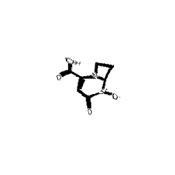 O=C(O)C1=CC(=O)[S+]([O-])C2CCN12